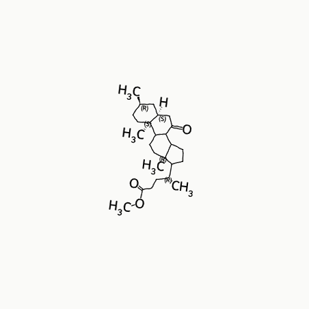 COC(=O)CC[C@@H](C)C1CCC2C3C(=O)C[C@@H]4C[C@H](C)CC[C@]4(C)C3CC[C@@]21C